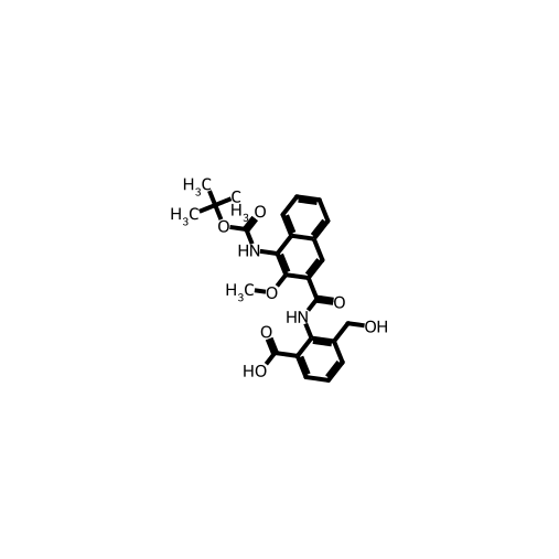 COc1c(C(=O)Nc2c(CO)cccc2C(=O)O)cc2ccccc2c1NC(=O)OC(C)(C)C